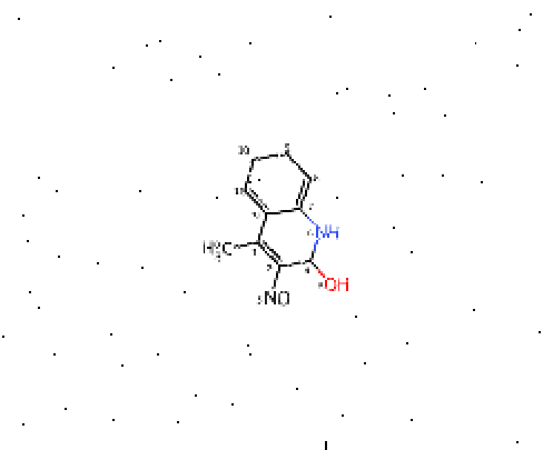 CC1=C(N=O)C(O)NC2=CCCC=C21